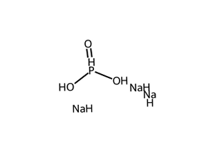 O=[PH](O)O.[NaH].[NaH].[NaH]